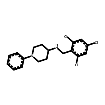 Clc1cc(Cl)c(CNC2CCN(c3[c]cccc3)CC2)c(Cl)c1